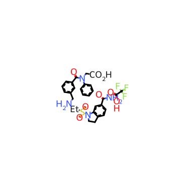 CCS(=O)(=O)N1CCc2ccc(C(N)=O)cc21.NCc1cccc(C(=O)N(CC(=O)O)c2ccccc2)c1.O=C(O)C(F)(F)F